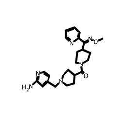 CON=C(c1ccccn1)C1CCN(C(=O)C2CCN(Cc3ccnc(N)c3)CC2)CC1